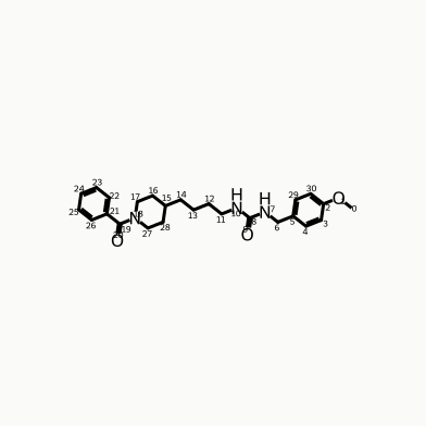 COc1ccc(CNC(=O)NCCCCC2CCN(C(=O)c3ccccc3)CC2)cc1